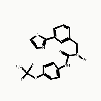 CC(C)N(Cc1cccc(-c2nccs2)c1)C(=O)Nc1ccc(OC(F)(F)C(F)(F)F)cc1